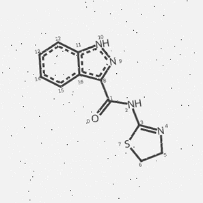 O=C(NC1=NCCS1)c1n[nH]c2ccccc12